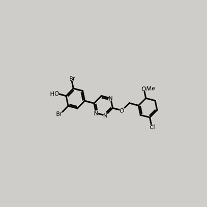 COC1CC=C(Cl)C=C1COc1ncc(-c2cc(Br)c(O)c(Br)c2)nn1